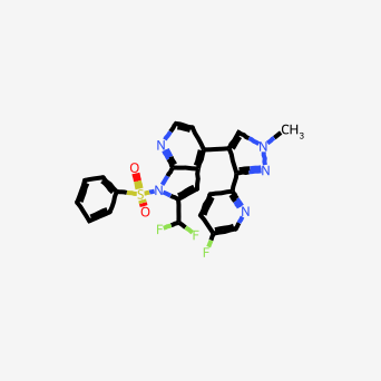 Cn1cc(-c2ccnc3c2cc(C(F)F)n3S(=O)(=O)c2ccccc2)c(-c2ccc(F)cn2)n1